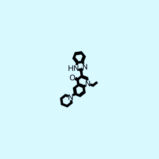 CCn1cc(-c2nc3ccccc3[nH]2)c(=O)c2cc(N3CCCCC3)ccc21